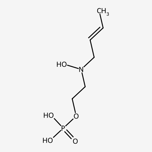 CC=CCN(O)CCOP(=O)(O)O